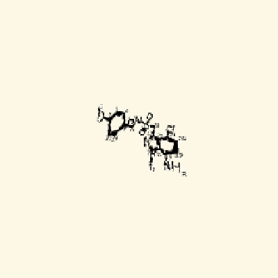 COc1ccc(CNS(=O)(=O)Cc2nn(C)c3c(N)ccc(Cl)c23)cc1